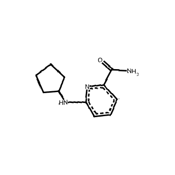 NC(=O)c1[c]ccc(NC2CCCC2)n1